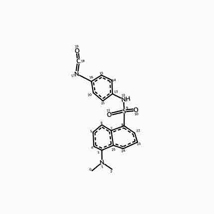 CN(C)c1cccc2c(S(=O)(=O)Nc3ccc(N=C=O)cc3)cccc12